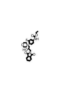 CCOC(=O)Nc1ccc([N+]2(C[C@H](O)CN3C(=O)c4ccccc4C3=O)CCOCC2)c(F)c1